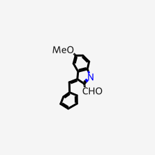 COc1ccc2c(c1)C(=Cc1ccccc1)C(C=O)=N2